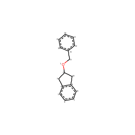 [CH](OC1Cc2ccccc2C1)c1ccccc1